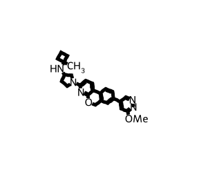 COc1cc(-c2ccc3c(c2)COc2nc(N4CCC(NC5(C)CCC5)C4)ccc2-3)cnn1